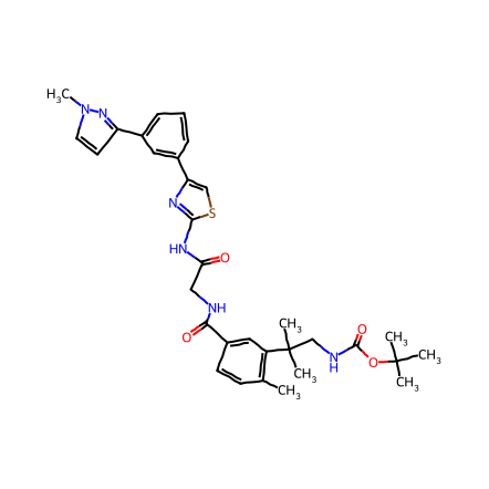 Cc1ccc(C(=O)NCC(=O)Nc2nc(-c3cccc(-c4ccn(C)n4)c3)cs2)cc1C(C)(C)CNC(=O)OC(C)(C)C